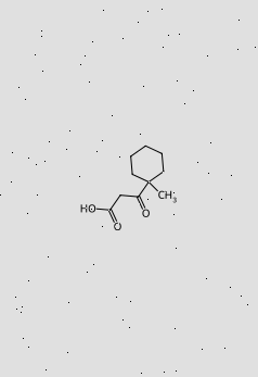 CC1(C(=O)CC(=O)O)CCCCC1